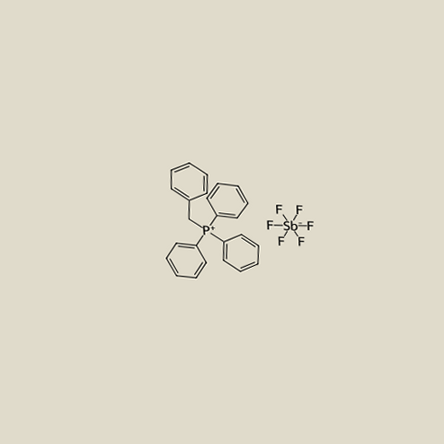 [F][Sb-]([F])([F])([F])([F])[F].c1ccc(C[P+](c2ccccc2)(c2ccccc2)c2ccccc2)cc1